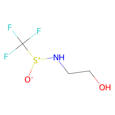 [O-][S+](NCCO)C(F)(F)F